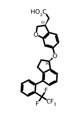 O=C(O)C[C@@H]1COc2cc(O[C@@H]3CCc4c(-c5ccccc5C(F)(F)C(F)(F)F)cccc43)ccc21